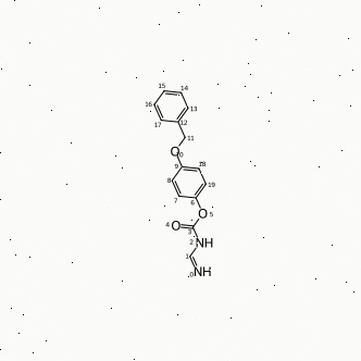 N=CNC(=O)Oc1ccc(OCc2ccccc2)cc1